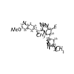 COc1cnc2ccc([C@@H](C)c3nnc4c(F)cc(-c5cc(C)ns5)cn34)cc2c1